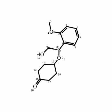 COc1ccccc1[C@H](CO)OC1CCC(=O)CC1